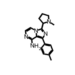 Cc1ccc(-c2nc(C3CCCN3C)n3ccnc(N)c23)cc1